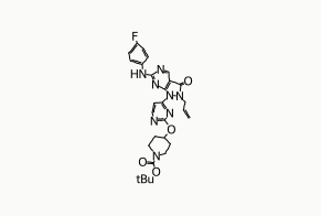 C=CCn1c(=O)c2cnc(Nc3ccc(F)cc3)nc2n1-c1ccnc(OC2CCN(C(=O)OC(C)(C)C)CC2)n1